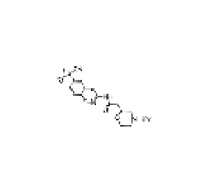 CC(C)N1CCO[C@@H](CC(=O)Nc2cc3cc(C4(C#N)CC45CC5)ccc3cn2)C1